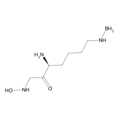 BNCCCC[C@H](N)C(=O)CNO